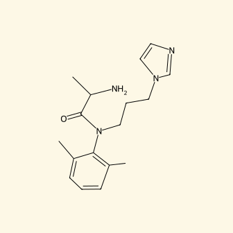 Cc1cccc(C)c1N(CCCn1ccnc1)C(=O)C(C)N